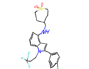 O=S1(=O)CCC(Nc2cccc3c2cc(-c2ccc(Cl)cc2)n3CC(F)(F)F)CC1